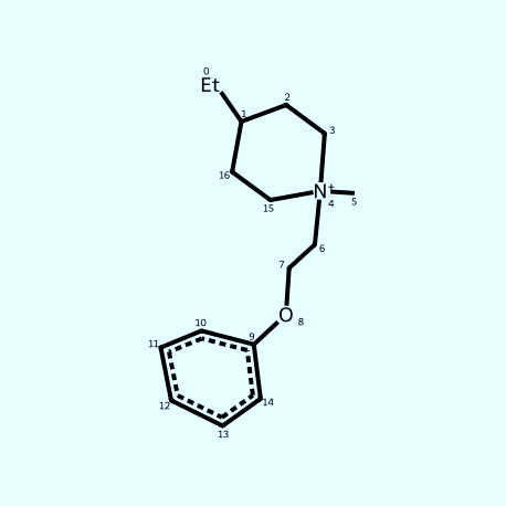 CCC1CC[N+](C)(CCOc2ccccc2)CC1